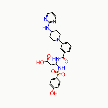 O=C(O)CC(NC(=O)c1cccc(N2CCC(Nc3ncccn3)CC2)c1)NS(=O)(=O)c1ccc(O)cc1